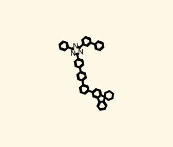 c1ccc(-c2cccc(-c3nc(-c4ccccc4)nc(-c4ccc(-c5ccc(-c6cccc(-c7ccc8c(c7)-c7ccccc7C87CCCCC7)c6)cc5)cc4)n3)c2)cc1